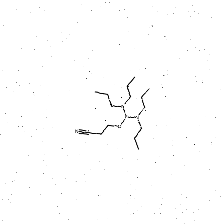 CCCN(CCC)P(OCCC#N)N(CCC)CCC